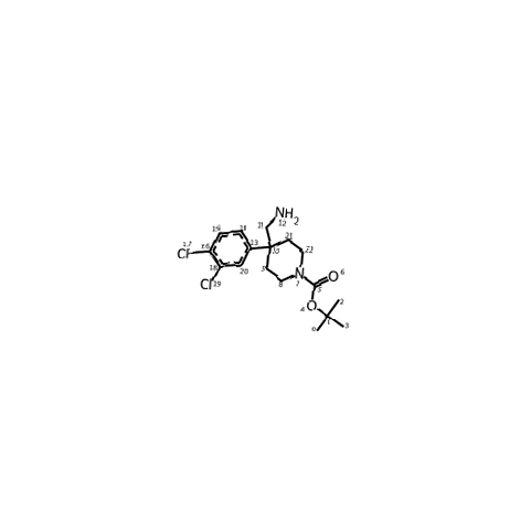 CC(C)(C)OC(=O)N1CCC(CN)(c2ccc(Cl)c(Cl)c2)CC1